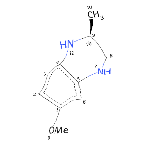 COc1ccc2c(c1)NC[C@H](C)N2